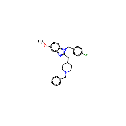 COc1ccc2c(c1)nc(CC1CCN(Cc3ccccc3)CC1)n2Cc1ccc(F)cc1